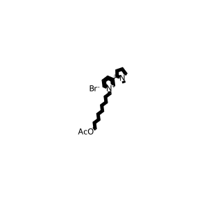 CC(=O)OCCCCCCCCC[n+]1cccc([C@@H]2CCCN2C)c1.[Br-]